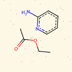 CCOC(C)=O.Nc1ccccn1